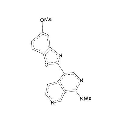 CNc1ncc(-c2nc3cc(OC)ccc3o2)c2ccncc12